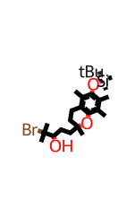 Cc1c(C)c2c(c(C)c1O[Si](C)(C)C(C)(C)C)CCC(C)(CCC(O)C(C)(C)Br)O2